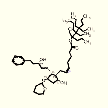 CCCC(CC)(CCC)C(CC)(CCC)C(CC)(CCC)OC(=O)CCC/C=C\C[C@@H]1[C@@H](CC[C@@H](O)CCc2ccccc2)[C@H](OC2CCCCO2)C[C@@H]1O